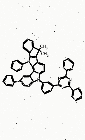 CC1(C)c2ccccc2-c2c1c1ccc3c(c4cc(-c5ccccc5)ccc4n3-c3cccc(-c4nc(-c5ccccc5)nc(-c5ccccc5)n4)c3)c1n2-c1ccccc1